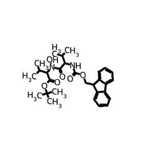 CC(C)C(NC(=O)OCC1c2ccccc2-c2ccccc21)C(=O)N(O)C(C(=O)OC(C)(C)C)C(C)C